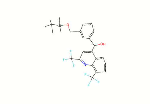 CC(C)(C)[Si](C)(C)OCc1cccc(C(O)c2cc(C(F)(F)F)nc3c(C(F)(F)F)cccc23)c1